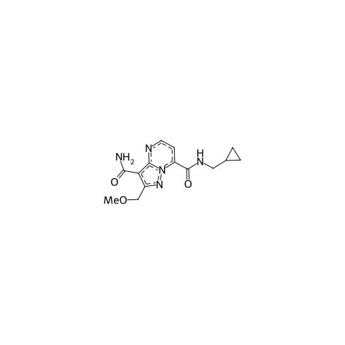 COCc1nn2c(C(=O)NCC3CC3)ccnc2c1C(N)=O